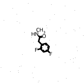 CNC(=O)Cc1ccc(F)cc1F